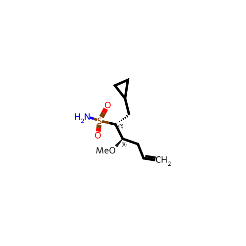 C=CC[C@@H](OC)[C@@H](CC1CC1)S(N)(=O)=O